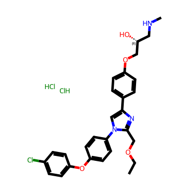 CCOCc1nc(-c2ccc(OC[C@H](O)CNC)cc2)cn1-c1ccc(Oc2ccc(Cl)cc2)cc1.Cl.Cl